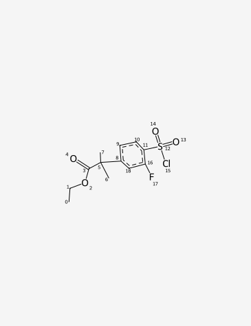 CCOC(=O)C(C)(C)c1ccc(S(=O)(=O)Cl)c(F)c1